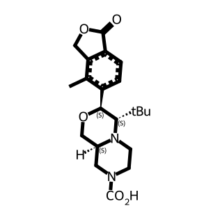 Cc1c([C@@H]2OC[C@@H]3CN(C(=O)O)CCN3[C@H]2C(C)(C)C)ccc2c1COC2=O